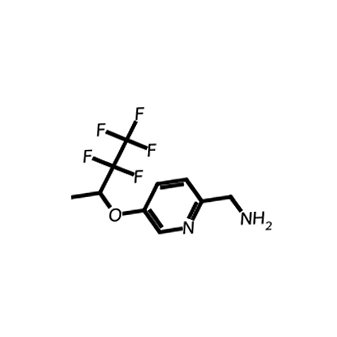 CC(Oc1ccc(CN)nc1)C(F)(F)C(F)(F)F